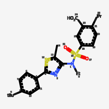 CCN(c1nc(-c2ccc(C(C)(C)C)cc2)sc1C)S(=O)(=O)c1ccc(C(C)C)c(C(=O)O)c1